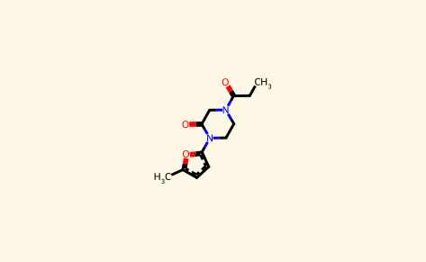 CCC(=O)N1CCN(c2ccc(C)o2)C(=O)C1